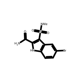 CNS(=O)(=O)c1c(C(N)=O)[nH]c2ccc(Br)cc12